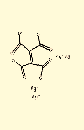 O=C([O-])C(C(=O)[O-])=C(C(=O)[O-])C(=O)[O-].[Ag+].[Ag+].[Ag+].[Ag+]